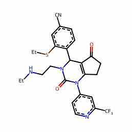 CCNCCN1C(=O)N(c2ccnc(C(F)(F)F)c2)C2=C(C(=O)CC2)C1c1ccc(C#N)cc1SCC